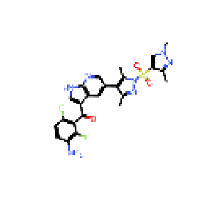 Cc1nn(C)cc1S(=O)(=O)n1nc(C)c(-c2cnc3[nH]cc(C(=O)c4c(F)ccc(N)c4F)c3c2)c1C